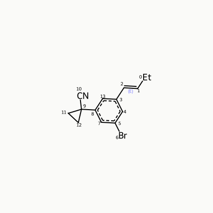 CC/C=C/c1cc(Br)cc(C2(C#N)CC2)c1